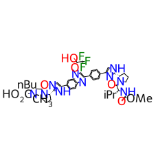 CCCC[C@H](C(=O)N1CCC[C@H]1c1ncc(-c2ccc3nc(-c4ccc(-c5c[nH]c([C@@H]6CCCN6C(=O)[C@@H](NC(=O)OC)C(C)C)n5)cc4)cnc3c2)[nH]1)N(C)C(=O)O.O=C(O)C(F)(F)F